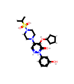 CC(C)S(=O)(=O)N1CCN(c2cnn(-c3cccc(O)c3)c(=O)c2OC2CCCC2)CC1